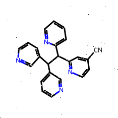 N#Cc1ccnc(C(c2ccccn2)C(c2cccnc2)c2cccnc2)c1